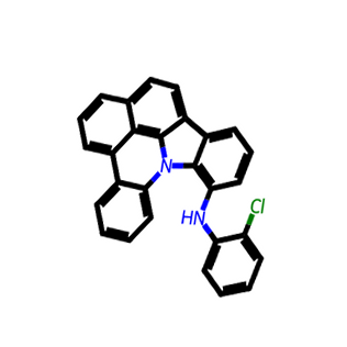 Clc1ccccc1Nc1cccc2c3ccc4cccc5c6ccccc6n(c12)c3c45